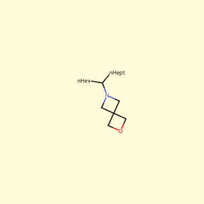 CCCCCCCC(CCCCCC)N1CC2(COC2)C1